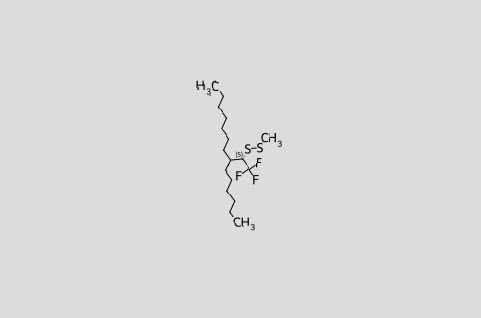 CCCCCCCC(CCCCCC)[C@H](SSC)C(F)(F)F